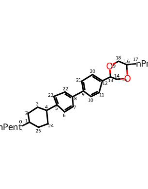 CCCCCC1CCC(c2ccc(-c3ccc(C4COC(CCC)CO4)cc3)cc2)CC1